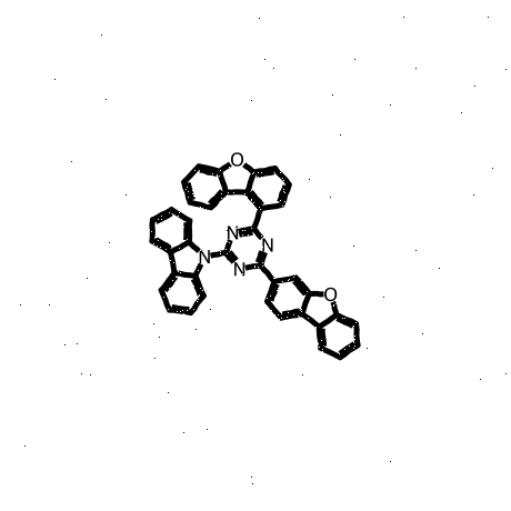 c1ccc2c(c1)oc1cc(-c3nc(-c4cccc5oc6ccccc6c45)nc(-n4c5ccccc5c5ccccc54)n3)ccc12